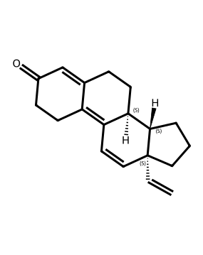 C=C[C@]12C=CC3=C4CCC(=O)C=C4CC[C@H]3[C@@H]1CCC2